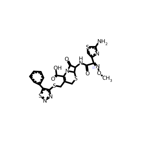 CO/N=C(\C(=O)NC1C(=O)N2C(C(=O)O)=C(CSc3nnsc3-c3ccccc3)CSC12)c1csc(N)n1